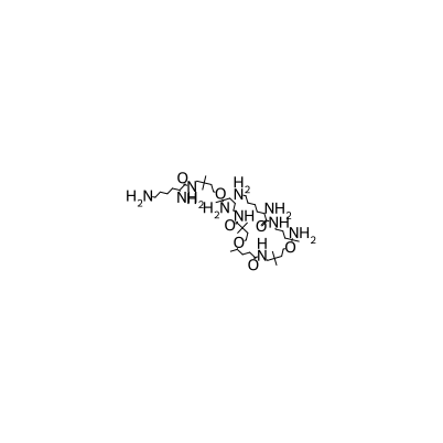 CC(CCC(=O)NCC(C)(C)CCOC(C)(N)CCCNC(=O)C(N)CCCCN)OCCC(C)(C)C(=O)NCCCC(C)(N)OCCC(C)(C)CNC(=O)C(N)CCCCN